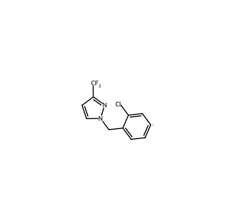 FC(F)(F)c1ccn(Cc2cc[c]cc2Cl)n1